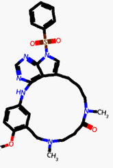 COc1ccc2cc1CN(C)CCC(=O)N(C)CCCc1cn(S(=O)(=O)c3ccccc3)c3ncnc(c13)N2